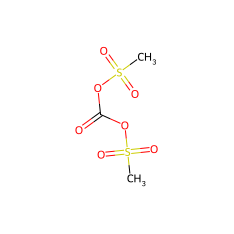 CS(=O)(=O)OC(=O)OS(C)(=O)=O